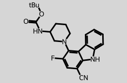 CC(C)(C)OC(=O)NC1CCCN(c2c(F)cc(C#N)c3[nH]c4ccccc4c23)C1